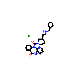 Cl.O=C1Nc2cccnc2N(C(=O)N2CCCC(CCNCC3CCCC3)C2)c2ccccc21